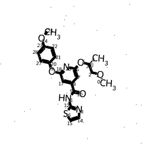 COC[C@@H](C)Oc1cc(C(=O)Nc2nccs2)cc(Oc2ccc(OC)cc2)n1